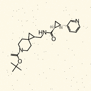 C=C(OC(C)(C)C)N1CCC2(CC1)CC2CNC(=O)[C@H]1C[C@@H]1c1cccnc1